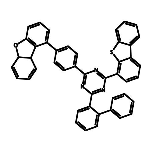 C1=CC2Oc3cccc(-c4ccc(-c5nc(-c6ccccc6-c6ccccc6)nc(-c6cccc7c6sc6ccccc67)n5)cc4)c3C2C=C1